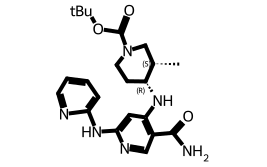 C[C@H]1CN(C(=O)OC(C)(C)C)CC[C@H]1Nc1cc(Nc2ccccn2)ncc1C(N)=O